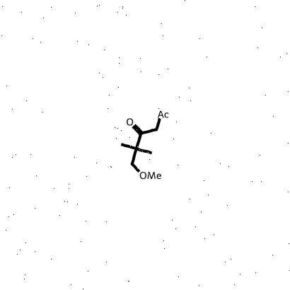 COCC(C)(C)C(=O)CC(C)=O